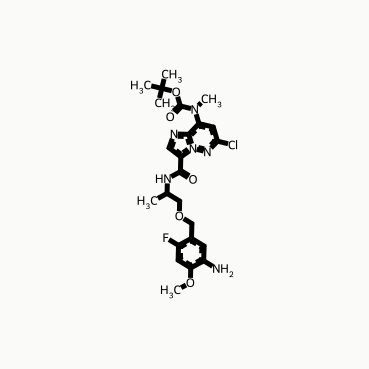 COc1cc(F)c(COCC(C)NC(=O)c2cnc3c(N(C)C(=O)OC(C)(C)C)cc(Cl)nn23)cc1N